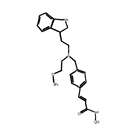 CC(C)OCCN(CCC1CNc2ccccc21)Cc1ccc(/C=C/C(=O)NO)cc1